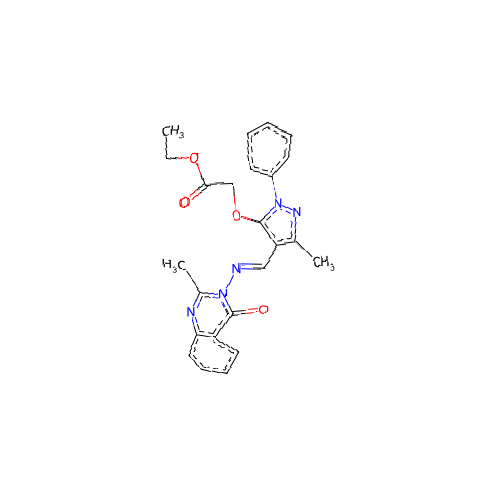 CCOC(=O)COc1c(C=Nn2c(C)nc3ccccc3c2=O)c(C)nn1-c1ccccc1